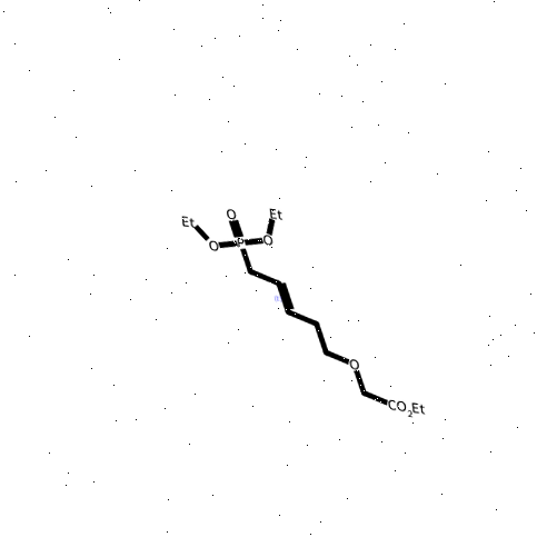 CCOC(=O)COCC/C=C/CP(=O)(OCC)OCC